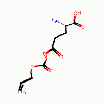 C=CCOC(=O)OC(=O)CC[C@H](N)C(=O)O